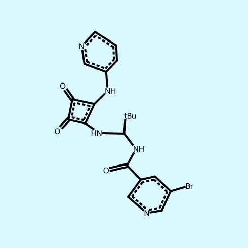 CC(C)(C)C(NC(=O)c1cncc(Br)c1)Nc1c(Nc2cccnc2)c(=O)c1=O